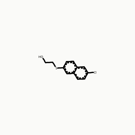 OCCSc1ccc2cc(Cl)ccc2c1